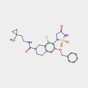 CC1(CCNC(=O)N2CCc3cc(OCc4ccccc4)c(N4CC(=O)NS4(=O)=O)c(F)c3C2)CC1